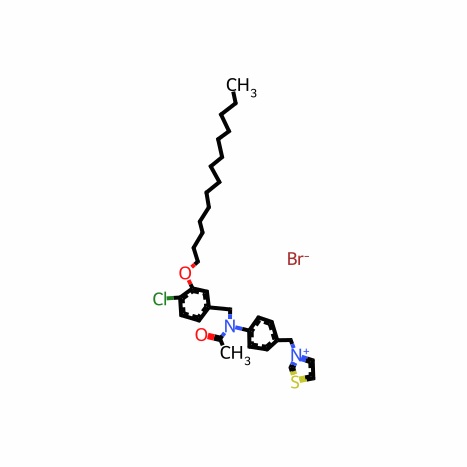 CCCCCCCCCCCCCCOc1cc(CN(C(C)=O)c2ccc(C[n+]3ccsc3)cc2)ccc1Cl.[Br-]